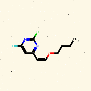 CCCCO/C=C\c1cc(F)nc(Cl)n1